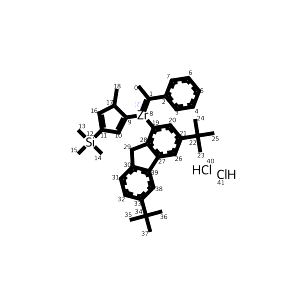 C/[C](c1ccccc1)=[Zr](\[C]1=CC([Si](C)(C)C)=CC1C)[c]1cc(C(C)(C)C)cc2c1Cc1ccc(C(C)(C)C)cc1-2.Cl.Cl